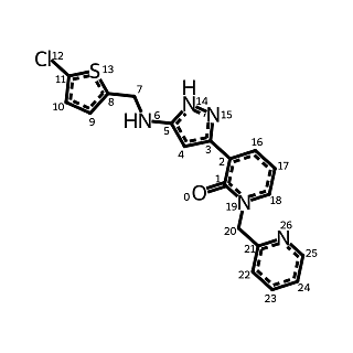 O=c1c(-c2cc(NCc3ccc(Cl)s3)[nH]n2)cccn1Cc1ccccn1